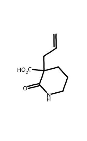 C=CCC1(C(=O)O)CCCNC1=O